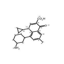 NC1CCCC(c2cc(F)cc3c(=O)c(C(=O)O)cn(C4CC4)c23)C1